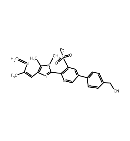 C=N/C(=C\c1nc(-c2ncc(-c3ccc(CC#N)cc3)cc2S(=O)(=O)CC)n(C)c1C)C(F)(F)F